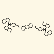 C(=Cc1ccc2cc3cc(C=Cc4ccc(N(c5cccc6ccccc56)c5cccc6ccccc56)cc4)ccc3cc2c1)c1ccc(N(c2cccc3ccccc23)c2cccc3ccccc23)cc1